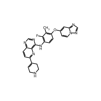 Cc1c(Oc2ccn3ncnc3c2)ccc(Nc2ncnc3ccc(C4=CCNCC4)nc23)c1F